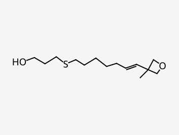 CC1(/C=C/CCCCCSCCCO)COC1